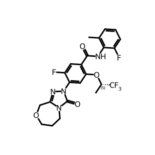 Cc1cccc(F)c1NC(=O)c1cc(F)c(-n2nc3n(c2=O)CCCOC3)cc1O[C@@H](C)C(F)(F)F